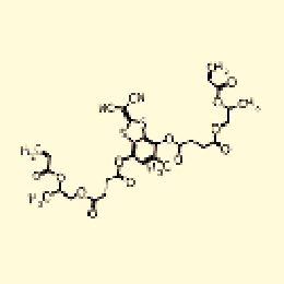 C=CC(=O)OC(C)COC(=O)CCC(=O)Oc1cc(C)c(OC(=O)CCC(=O)OCC(C)OC(=O)C=C)c2c1SC(=C(C#N)C#N)S2